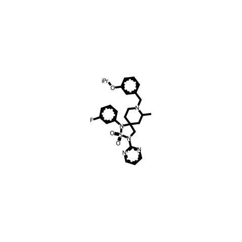 CC(C)Oc1cccc(CN2CCC3(CC2C)CN(c2ncccn2)S(=O)(=O)N3c2cccc(F)c2)c1